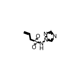 C=CCS(=O)(=O)Nn1cn[c]n1